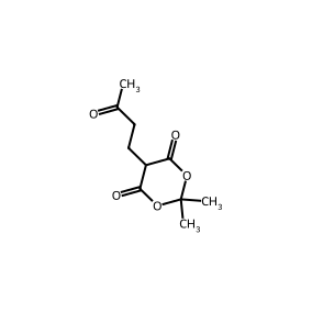 CC(=O)CCC1C(=O)OC(C)(C)OC1=O